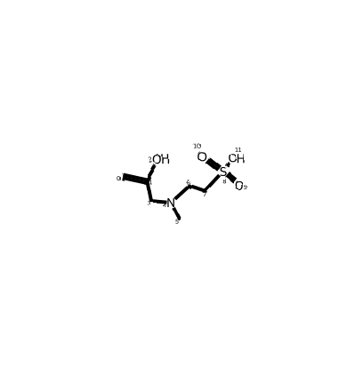 C=C(O)CN(C)CCS(=O)(=O)O